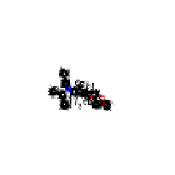 CC1(C)c2cc(N(c3ccc(-c4ccccc4)cc3)c3cc(-c4ccccc4)cc(-c4ccccc4)c3)ccc2-c2cc3c(cc21)-c1cccc(-c2cccc4c2oc2ccccc24)c1C3(C)C